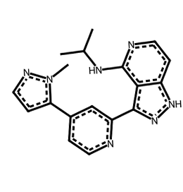 CC(C)Nc1nccc2[nH]nc(-c3cc(-c4ccnn4C)ccn3)c12